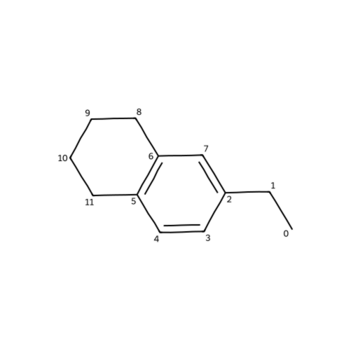 CCc1ccc2c(c1)CCCC2